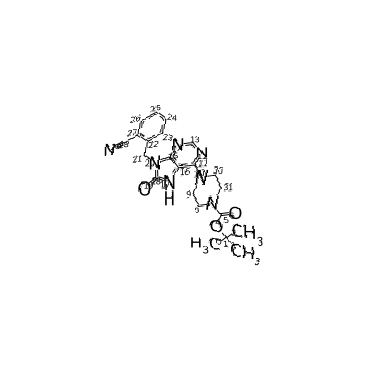 CC(C)(C)OC(=O)N1CCN(c2ncnc3c2[nH]c(=O)n3Cc2ccccc2C#N)CC1